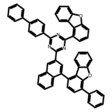 c1ccc(-c2ccc(-c3nc(-c4cc(-c5ccc(-c6ccccc6)c6oc7ccccc7c56)c5ccccc5c4)nc(-c4cccc5oc6ccccc6c45)n3)cc2)cc1